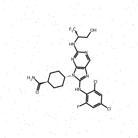 NC(=O)[C@H]1CC[C@H](n2c(Nc3c(F)cc(Cl)cc3Cl)nc3cnc(N[C@H](CO)C(F)(F)F)nc32)CC1